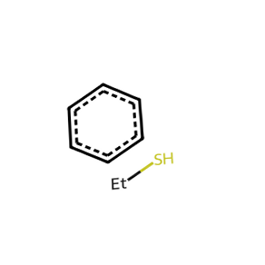 CCS.c1ccccc1